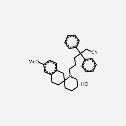 COc1ccc2c(c1)CCC1(CCCCN1CCCC(CC#N)(c1ccccc1)c1ccccc1)C2.Cl